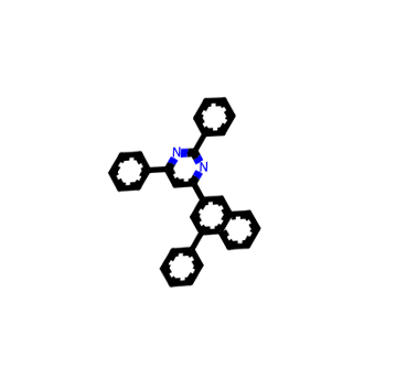 c1ccc(-c2cc(-c3cc(-c4ccccc4)c4ccccc4c3)nc(-c3ccccc3)n2)cc1